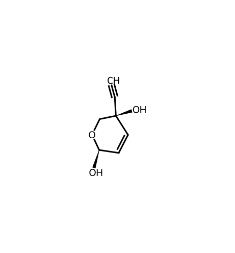 C#C[C@]1(O)C=C[C@@H](O)OC1